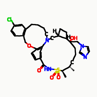 C[C@@H]1[C@@H](C)CCC[C@@](O)(Cn2ccnc2)[C@@H]2CC[C@H]2CN2CCCCc3cc(Cl)ccc3COc3ccc(cc32)C(=O)NS1(=O)=O